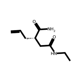 C=CC[C@@H](CC(=O)NCC)C(N)=O